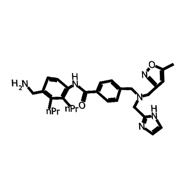 CCCc1c(CN)ccc(NC(=O)c2ccc(CN(Cc3cc(C)on3)Cc3ncc[nH]3)cc2)c1CCC